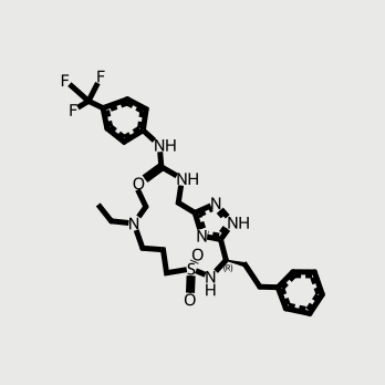 CCN(CC)CCCS(=O)(=O)N[C@H](CCc1ccccc1)c1nc(CNC(=O)Nc2ccc(C(F)(F)F)cc2)n[nH]1